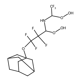 OOC(NC(OO)C(F)(F)C(F)(F)OC12CC3CC(CC(C3)C1)C2)C(F)(F)F